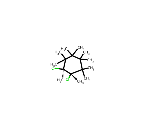 CC1(C)C(C)(C)C(C)(C)[C@](C)(Cl)[C@@](C)(Cl)C1(C)C